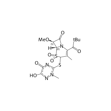 CO[C@H]1C(=O)N2C(C(=O)C(C)(C)C)=C(C)C(Sc3nc(=O)c(O)nn3C)S(=O)(=O)[C@H]12